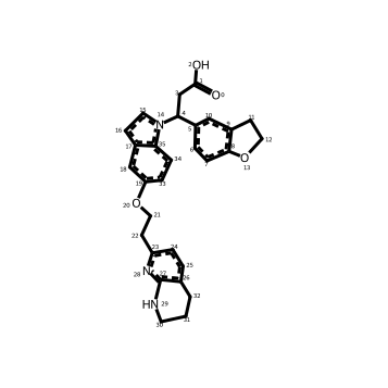 O=C(O)CC(c1ccc2c(c1)CCO2)n1ccc2cc(OCCc3ccc4c(n3)NCCC4)ccc21